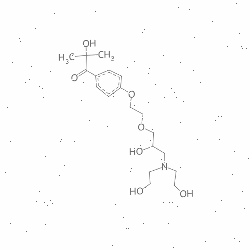 CC(C)(O)C(=O)c1ccc(OCCOCC(O)CN(CCO)CCO)cc1